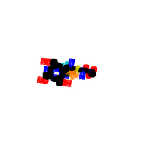 O=C(CCN1C(=O)C=CC1=O)NCCSSCCNc1c(F)c(F)c(-c2c3nc(c(-c4cccc(O)c4)c4ccc([nH]4)c(-c4cccc(O)c4)c4nc(c(-c5cccc(O)c5)c5ccc2[nH]5)C=C4)C=C3)c(P)c1P